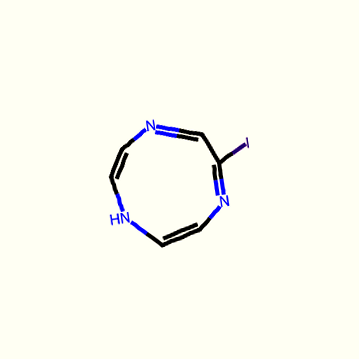 Ic1cncc[nH]ccn1